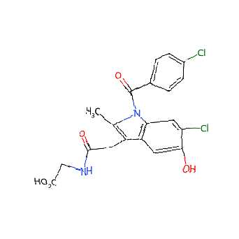 Cc1c(CC(=O)NCC(=O)O)c2cc(O)c(Cl)cc2n1C(=O)c1ccc(Cl)cc1